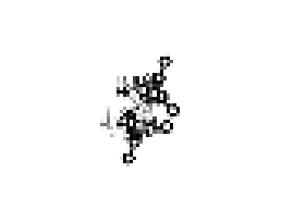 Bc1c(O)c(O)c(B)c(N(c2ccc(-c3ccccc3)cc2)c2ccc(-c3cccc(-c4cccc(-c5ccc(N(c6ccc(-c7ccccc7)cc6)c6c(O)c(B)c(O)c(O)c6O)cc5)c4)c3)cc2)c1O